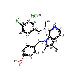 COc1ccc(Cn2c(C)c(C)c3ccnc(N(C)Cc4ccc(F)cc4)c32)cc1.Cl